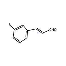 O=C/C=C/c1cccc(I)c1